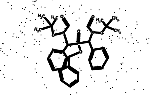 CC(C)(C)ON(C=O)C(c1ccccc1)P(=O)(OCc1ccccc1)C(c1ccccc1)N(C=O)OC(C)(C)C